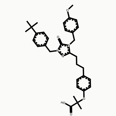 COc1ccc(Cn2c(CCCc3ccc(OC(C)(C)C(=O)O)cc3)nn(Cc3ccc(C(C)(C)C)cc3)c2=O)cc1